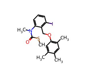 CSC(=O)N(C)c1cccc(I)c1COc1cc(C)c(C)cc1C